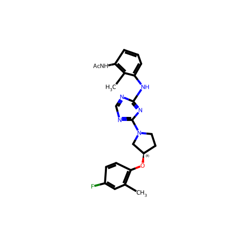 CC(=O)Nc1cccc(Nc2ncnc(N3CC[C@@H](Oc4ccc(F)cc4C)C3)n2)c1C